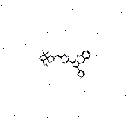 C\N=C(/N=C\C(F)=C\NCC(O)(C(N)=O)C(F)(F)F)c1cc(-c2ccon2)n(Cc2ccccc2F)n1